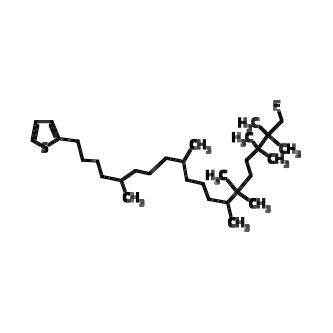 CC(CCCCc1cccs1)CCCC(C)CCCC(C)C(C)(C)CCC(C)(C)C(C)(C)CF